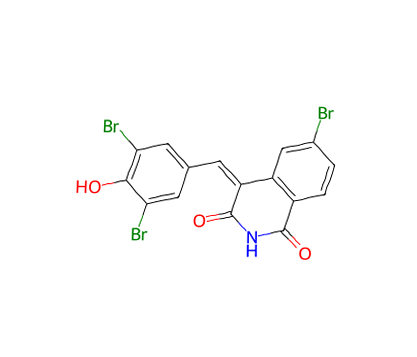 O=C1NC(=O)c2ccc(Br)cc2C1=Cc1cc(Br)c(O)c(Br)c1